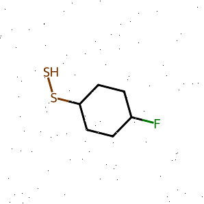 FC1CCC(SS)CC1